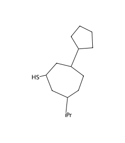 CC(C)C1CCC(C2CCCC2)CC(S)C1